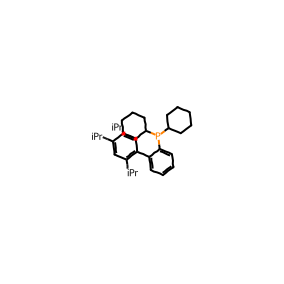 CC(C)c1cc(C(C)C)c(C(C)C)cc1-c1ccccc1P(C1CCCCC1)C1CCCCC1